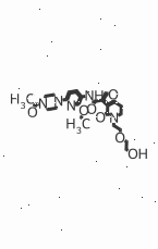 CCOc1nc(N2CCN(C(C)=O)CC2)ccc1NC(=O)c1coc2c1C(=O)N(CCOCCO)CC2